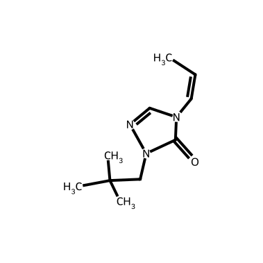 C/C=C\n1cnn(CC(C)(C)C)c1=O